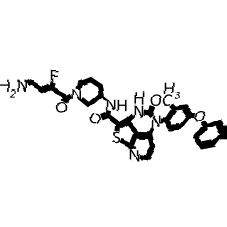 Cc1cc(Oc2ccccc2)ccc1N1C(=O)Nc2c(C(=O)N[C@@H]3CCCN(C(=O)/C(F)=C/CN)C3)sc3nccc1c23